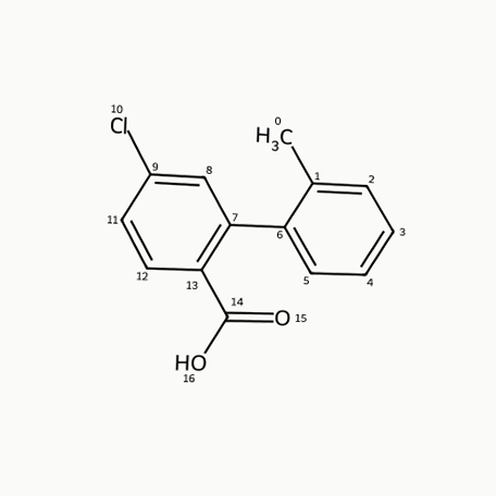 Cc1ccccc1-c1cc(Cl)ccc1C(=O)O